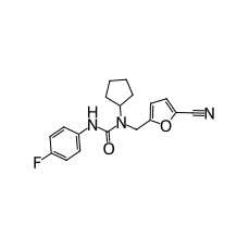 N#Cc1ccc(CN(C(=O)Nc2ccc(F)cc2)C2CCCC2)o1